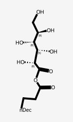 CCCCCCCCCCCCC(=O)OC(=O)[C@H](O)[C@@H](O)[C@H](O)[C@H](O)CO